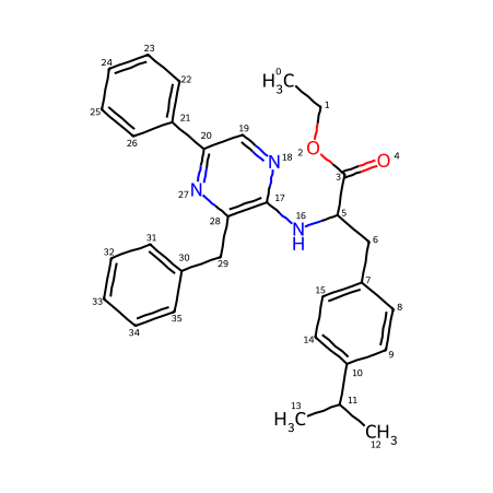 CCOC(=O)C(Cc1ccc(C(C)C)cc1)Nc1ncc(-c2ccccc2)nc1Cc1ccccc1